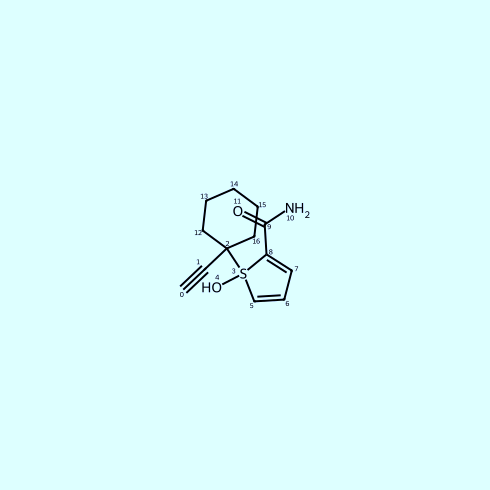 C#CC1(S2(O)C=CC=C2C(N)=O)CCCCC1